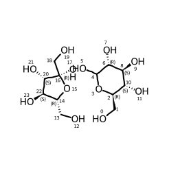 OC[C@H]1OC(O)[C@H](O)[C@@H](O)[C@@H]1O.OC[C@H]1O[C@](O)(CO)[C@@H](O)[C@@H]1O